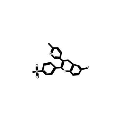 Cc1ccc(C2=C(c3ccc(S(C)(=O)=O)cc3)Oc3ccc(F)cc3C2)cn1